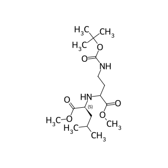 COC(=O)C(CCNC(=O)OC(C)(C)C)N[C@@H](CC(C)C)C(=O)OC